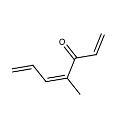 C=CC=C(C)C(=O)C=C